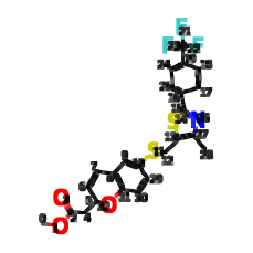 COC(=O)CC1C=Cc2cc(SCc3sc(-c4ccc(C(F)(F)F)cc4)nc3C)ccc2O1